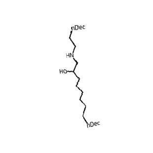 CCCCCCCCCCCCCCCCC(O)CNCCCCCCCCCCCC